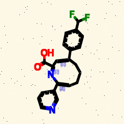 O=C(O)C1=N/C(c2cccnc2)=C\CCC/C(c2ccc(C(F)F)cc2)=C\1